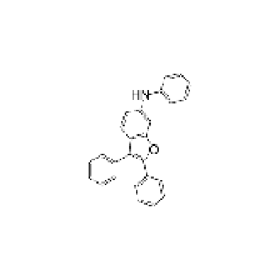 c1ccc(Nc2ccc3c(-c4ccccc4)c(-c4ccccc4)oc3c2)cc1